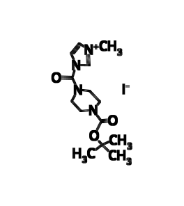 C[n+]1ccn(C(=O)N2CCN(C(=O)OC(C)(C)C)CC2)c1.[I-]